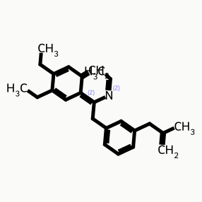 C=C(C)Cc1cccc(CC(/N=C\C)=c2\cc(CC)c(CC)cc2=C)c1